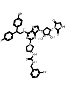 O=C(NCc1cccc(O)c1)N[C@@H]1CCN(c2nc(NCC(c3ccc(O)cc3)c3ccc(O)cc3)c3ncn([C@@H]4C[C@H](N5C(=O)CNC5=O)[C@@H](O)[C@H]4O)c3n2)C1